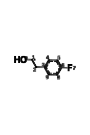 O[CH]Cc1ccc(F)cc1